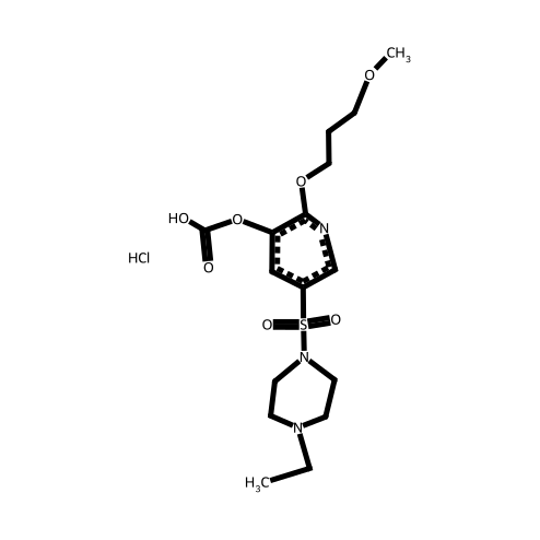 CCN1CCN(S(=O)(=O)c2cnc(OCCCOC)c(OC(=O)O)c2)CC1.Cl